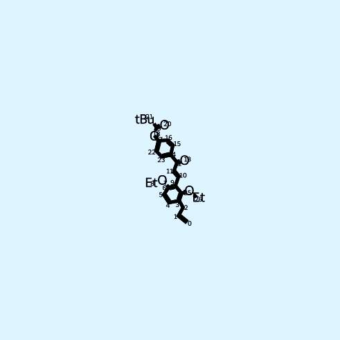 C=CCc1ccc(OCC)c(/C=C/C(=O)c2ccc(OC(=O)C(C)(C)C)cc2)c1OCC